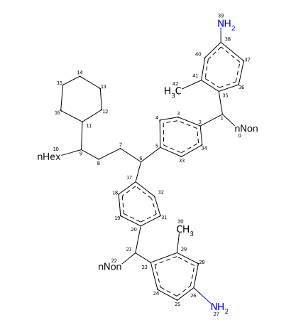 CCCCCCCCCC(c1ccc(C(CCC(CCCCCC)C2CCCCC2)c2ccc(C(CCCCCCCCC)c3ccc(N)cc3C)cc2)cc1)c1ccc(N)cc1C